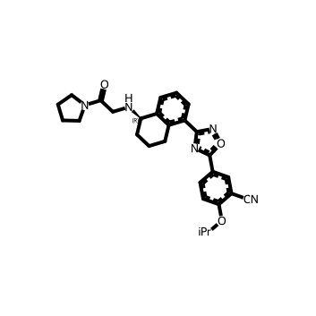 CC(C)Oc1ccc(-c2nc(-c3cccc4c3CCC[C@H]4NCC(=O)N3CCCC3)no2)cc1C#N